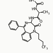 CCCC(=O)N[C@@H](C)C(=O)NC1N=C(c2ccccc2)c2ccccc2N(CCCC(F)(F)F)C1=O